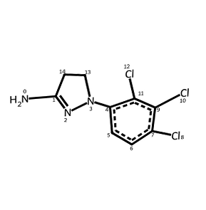 NC1=NN(c2ccc(Cl)c(Cl)c2Cl)CC1